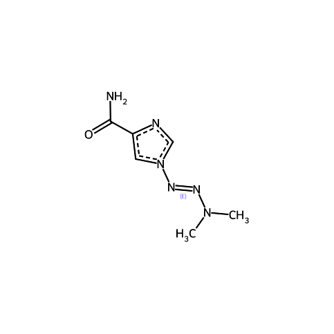 CN(C)/N=N/n1cnc(C(N)=O)c1